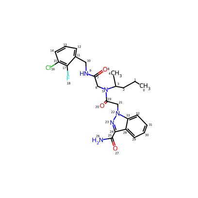 CCCC(C)N(CC(=O)NCc1cccc(Cl)c1F)C(=O)Cn1nc(C(N)=O)c2ccccc21